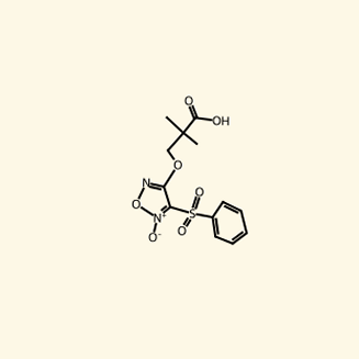 CC(C)(COc1no[n+]([O-])c1S(=O)(=O)c1ccccc1)C(=O)O